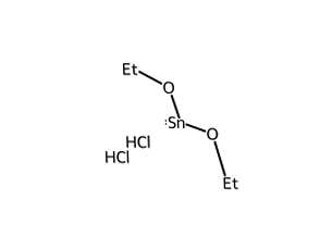 CC[O][Sn][O]CC.Cl.Cl